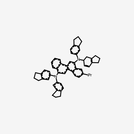 CC(C)c1ccc2c(c1)c(N(c1ccc3c(c1)CCC3)C1C=CC3=C(CCC3)C1)cc1c3ccccc3c(N(c3ccc4c(c3)CCC4)c3ccc4c(c3)CCC4)cc21